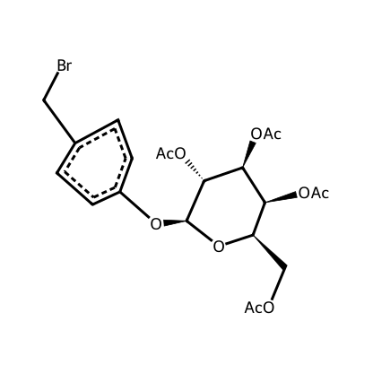 CC(=O)OC[C@H]1O[C@@H](Oc2ccc(CBr)cc2)[C@H](OC(C)=O)[C@@H](OC(C)=O)[C@H]1OC(C)=O